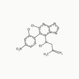 C=C(C)CN(CC)c1c(-c2ccc([N+](=O)[O-])cc2Cl)c(Cl)nc2ncnn12